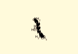 C[C@@H]1C(=O)CC2(CCN(c3cnc(Sc4ccnc(Nc5ccnc(N6CCC(C(N)=O)CC6)n5)c4Cl)cn3)CC2)[C@H]1N.Cl